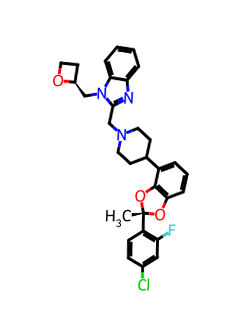 C[C@]1(c2ccc(Cl)cc2F)Oc2cccc(C3CCN(Cc4nc5ccccc5n4C[C@@H]4CCO4)CC3)c2O1